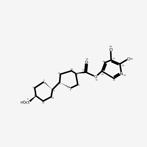 CCCCCCCC[C@H]1CC[C@H]([C@H]2CC[C@H](C(=O)Oc3cnc(Cl)c(Cl)c3)CC2)CC1